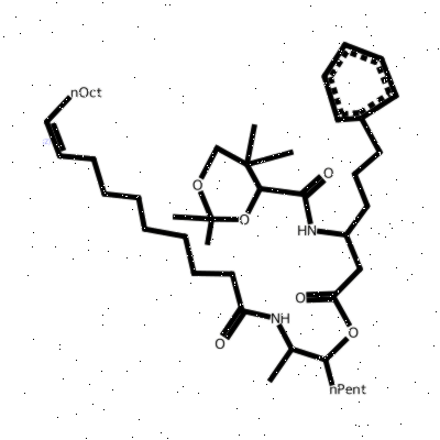 CCCCCCCC/C=C\CCCCCCCC(=O)NC(C)C(CCCCC)OC(=O)CC(CCCc1ccccc1)NC(=O)C1OC(C)(C)OCC1(C)C